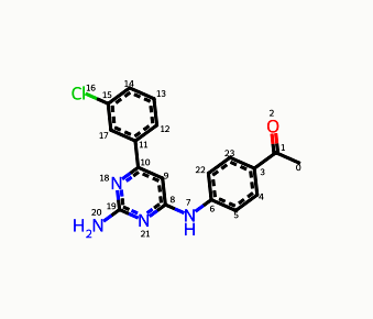 CC(=O)c1ccc(Nc2cc(-c3cccc(Cl)c3)nc(N)n2)cc1